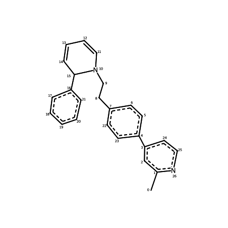 Cc1cc(-c2ccc(CCN3C=CC=CC3c3ccccc3)cc2)ccn1